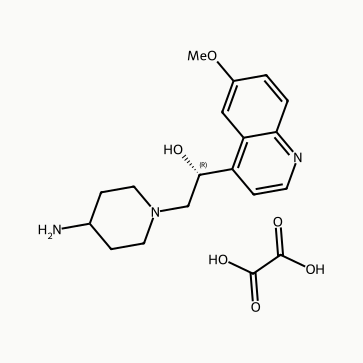 COc1ccc2nccc([C@@H](O)CN3CCC(N)CC3)c2c1.O=C(O)C(=O)O